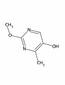 COc1ncc(O)c(C)n1